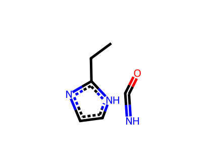 CCc1ncc[nH]1.N=C=O